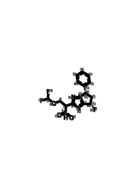 O=[SH](=O)C(COC(F)F)c1nc2n(n1)[C@H](c1ccccc1)C[C@@H]2F